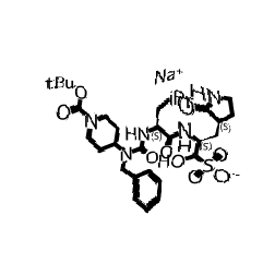 CC(C)C[C@H](NC(=O)N(Cc1ccccc1)C1CCN(C(=O)OC(C)(C)C)CC1)C(=O)N[C@@H](C[C@@H]1CCNC1=O)C(O)S(=O)(=O)[O-].[Na+]